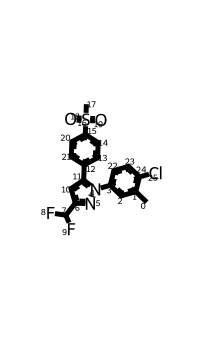 Cc1cc(-n2nc(C(F)F)cc2-c2ccc(S(C)(=O)=O)cc2)ccc1Cl